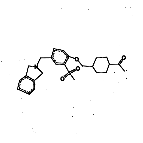 CC(=O)C1CCC(COc2ccc(CN3Cc4ccccc4C3)cc2S(C)(=O)=O)CC1